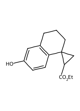 CCOC(=O)C1CC12CCCc1cc(O)ccc12